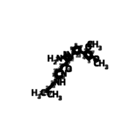 COc1ccc(-c2cccc(-n3cc(C(=O)Cc4ccc(NCCCC(C)C)cn4)c(N)n3)c2)c(OC)c1